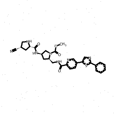 COC(=O)N1C[C@H](NC(=O)[C@@H]2C[C@H](C#N)CN2)C[C@@H]1CNC(=O)c1ccc(-c2cnc(-c3ccccc3)s2)cn1